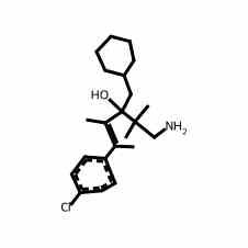 CC(=C(C)C(O)(CC1CCCCC1)C(C)(C)CN)c1ccc(Cl)cc1